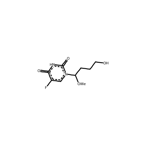 COC(CCCO)n1cc(F)c(=O)[nH]c1=O